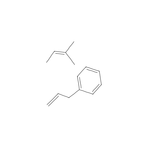 C=CCc1ccccc1.CC=C(C)C